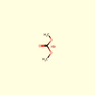 Br.COC(=O)OC